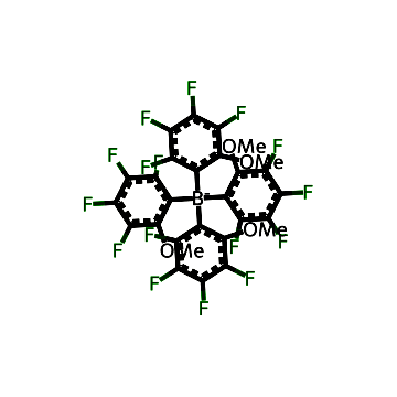 COc1c(F)c(F)c(F)c(F)c1[B-](c1c(F)c(F)c(F)c(F)c1OC)(c1c(F)c(F)c(F)c(F)c1OC)c1c(F)c(F)c(F)c(F)c1OC